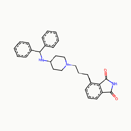 O=C1NC(=O)c2c(CCCN3CCC(NC(c4ccccc4)c4ccccc4)CC3)cccc21